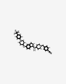 N#Cc1ccc(CN2CCC(NC3CCc4cc(OC5CCN(c6ccc(C(F)(F)F)cc6)CC5)ccc43)CC2)cc1